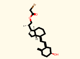 C=C1CC[C@H](O)C/C1=C/C=C1\CCC[C@]2(C)[C@@H]([C@H](C)COC(=O)CBr)CC[C@@H]12